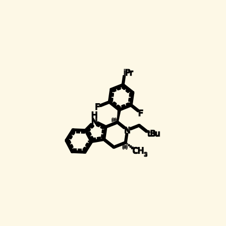 CC(C)c1cc(F)c([C@@H]2c3[nH]c4ccccc4c3C[C@@H](C)N2CC(C)(C)C)c(F)c1